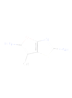 Cc1c(N)oc2nc(N)sc12